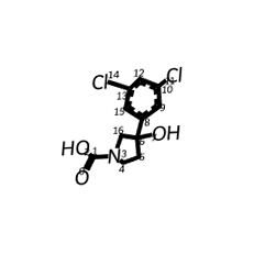 O=C(O)N1CCC(O)(c2cc(Cl)cc(Cl)c2)C1